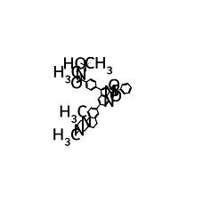 Cc1cc(-c2cnc3c(c2)c(-c2ccc(C(=O)N(C)C[C@@H](C)O)cc2)cn3S(=O)(=O)c2ccccc2)cc2c1N1CCN(C)CC1CC2